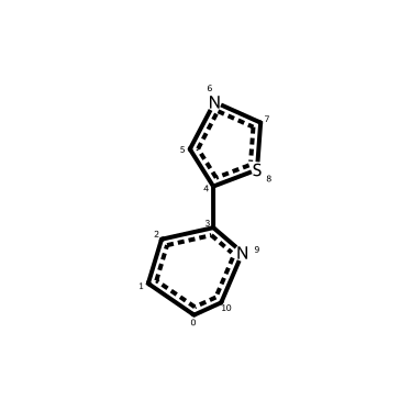 c1ccc(-c2cncs2)nc1